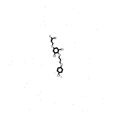 CCc1cc(OC/C=C(/F)Br)cc(CC)c1OCCCOc1ccc(C(F)(F)F)cc1